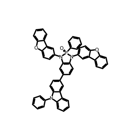 O=P1(c2ccccc2)N(c2ccc3oc4ccccc4c3c2)c2ccc(-c3ccc4c(c3)c3ccccc3n4-c3ccccc3)cc2N1c1ccc2oc3ccccc3c2c1